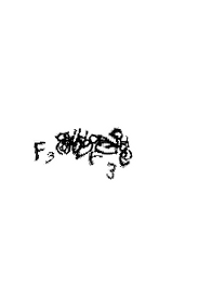 Cc1cc(OC(F)(F)F)cc(C(=O)Nc2cccc(OC3CCN(C(=O)Nc4ccccc4OC(F)(F)F)CC3)c2)c1-c1ccccc1